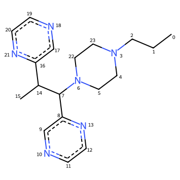 CCCN1CCN(C(c2cnccn2)C(C)c2cnccn2)CC1